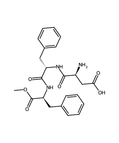 COC(=O)[C@H](Cc1ccccc1)NC(=O)[C@H](Cc1ccccc1)NC(=O)[C@@H](N)CC(=O)O